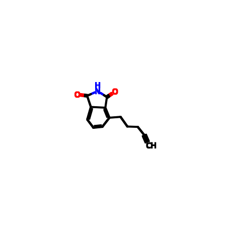 C#CCCCc1cccc2c1C(=O)NC2=O